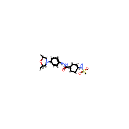 CC1CN(c2ccc(NC(=O)C3CCC(NS(C)(=O)=O)CC3)cc2)CC(C)O1